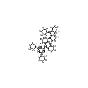 c1ccc(-c2nc(-c3ccccc3)nc(N3c4ccccc4-n4c5ccc6c7ccccc7n(-c7ccccc7)c6c5c5cccc3c54)n2)cc1